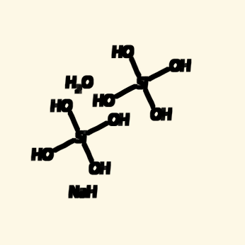 O.O[Si](O)(O)O.O[Si](O)(O)O.[NaH]